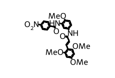 COc1cc(OC)c(C=CC(=O)Nc2ccc(OC)c(NC(=O)c3ccc([N+](=O)[O-])cc3)c2)c(OC)c1